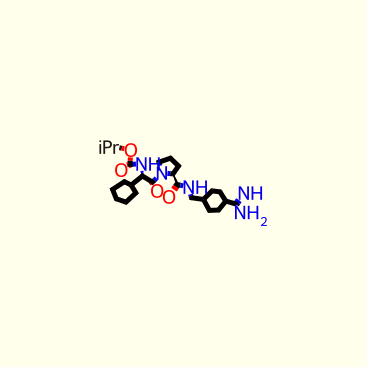 CC(C)OC(=O)N[C@@H](C(=O)N1CCC[C@H]1C(=O)NCC1CCC(C(=N)N)CC1)C1CCCCC1